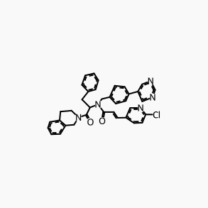 O=C(C(Cc1ccccc1)N(Cc1ccc(-c2cncnc2)cc1)C(=O)C=Cc1ccc(Cl)nc1)N1CCc2ccccc2C1